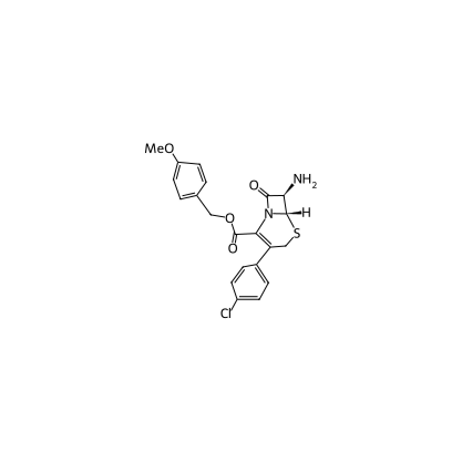 COc1ccc(COC(=O)C2=C(c3ccc(Cl)cc3)CS[C@H]3[C@H](N)C(=O)N23)cc1